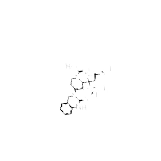 COC(=O)CC(O)(C1CC(N2Cc3ccccc3NC2=O)CCN1C(=O)O)[Si](C)(C)C